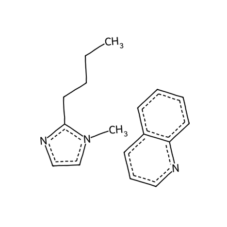 CCCCc1nccn1C.c1ccc2ncccc2c1